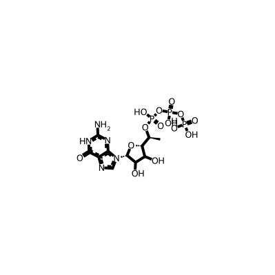 C[C@H](OP(=O)(O)OP(=O)(O)OP(=O)(O)O)[C@H]1O[C@@H](n2cnc3c(=O)[nH]c(N)nc32)C(O)C1O